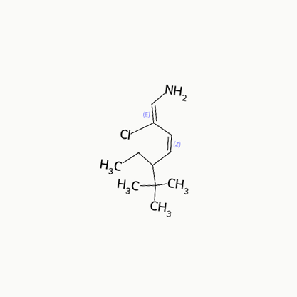 CCC(/C=C\C(Cl)=C/N)C(C)(C)C